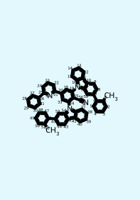 Cc1ccccc1-c1ccc2c3ccccc3n(-c3cc(-c4cccc(-c5ccccc5)n4)cc(-n4c5ccccc5c5ccc(-c6ccccc6C)cc54)c3C#N)c2c1